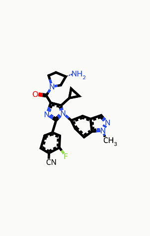 Cn1ncc2cc(-n3c(-c4ccc(C#N)c(F)c4)nc(C(=O)N4CC[C@H](N)C4)c3C3CC3)ccc21